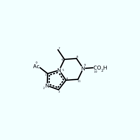 CC(=O)c1ncc2n1C(C)CN(C(=O)O)C2